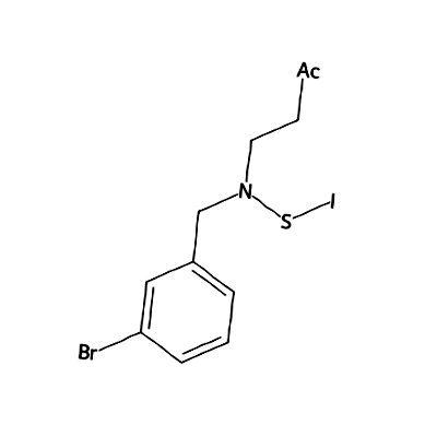 CC(=O)CCN(Cc1cccc(Br)c1)SI